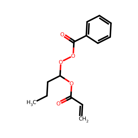 C=CC(=O)OC(CCC)OOC(=O)c1ccccc1